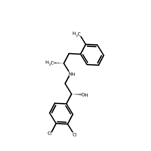 Cc1ccccc1C[C@@H](C)NC[C@H](O)c1ccc(Cl)c(Cl)c1